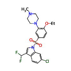 CCOc1ccc(S(=O)(=O)n2cc(C(F)F)c3ccc(Cl)cc32)cc1N1CCN(C)CC1